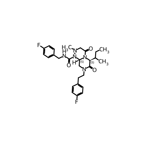 CCC(C)[C@H]1C(=O)N(CCc2ccc(F)cc2)C[C@H]2N1C(=O)CN(C)N2C(=O)NCc1ccc(F)cc1